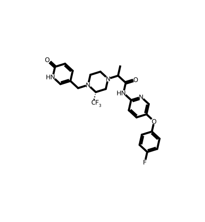 CC(C(=O)Nc1ccc(Oc2ccc(F)cc2)cn1)N1CCN(Cc2ccc(=O)[nH]c2)[C@@H](C(F)(F)F)C1